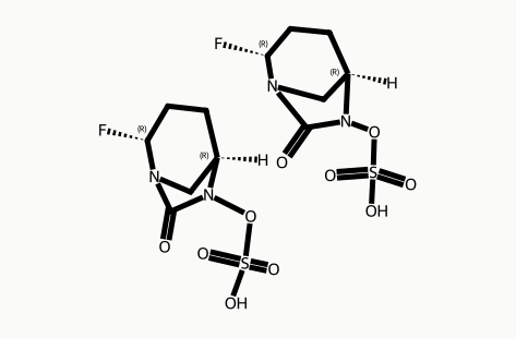 O=C1N2C[C@@H](CC[C@H]2F)N1OS(=O)(=O)O.O=C1N2C[C@@H](CC[C@H]2F)N1OS(=O)(=O)O